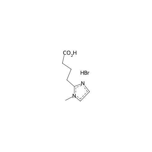 Br.Cn1ccnc1CCCC(=O)O